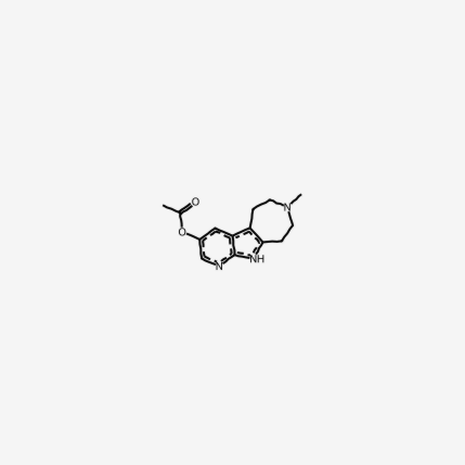 CC(=O)Oc1cnc2[nH]c3c(c2c1)CCN(C)CC3